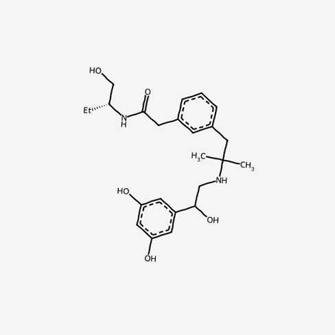 CC[C@H](CO)NC(=O)Cc1cccc(CC(C)(C)NCC(O)c2cc(O)cc(O)c2)c1